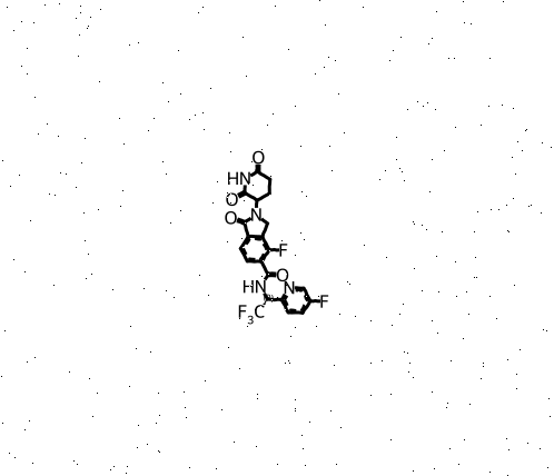 O=C1CCC(N2Cc3c(ccc(C(=O)N[C@H](c4ccc(F)cn4)C(F)(F)F)c3F)C2=O)C(=O)N1